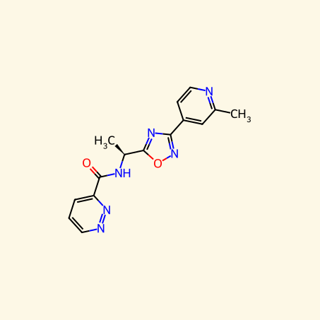 Cc1cc(-c2noc([C@H](C)NC(=O)c3cccnn3)n2)ccn1